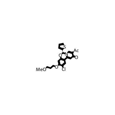 COCCCOc1cc2c(cc1Cl)-c1cc(=O)c(C(C)=O)cn1[C@@H](c1cccs1)O2